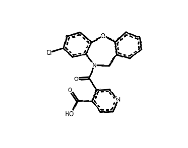 O=C(O)c1ccncc1C(=O)N1Cc2ccccc2Oc2ccc(Cl)cc21